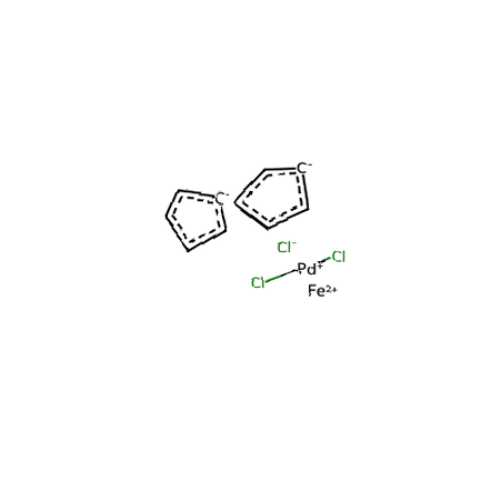 [Cl-].[Cl][Pd+][Cl].[Fe+2].c1cc[cH-]c1.c1cc[cH-]c1